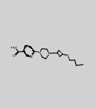 CCCCOC1CC(N2CCN(c3ccc(C(=O)O)cn3)CC2)C1